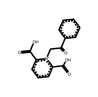 O=C(C[n+]1c(C(=O)O)cccc1C(=O)O)c1ccccc1